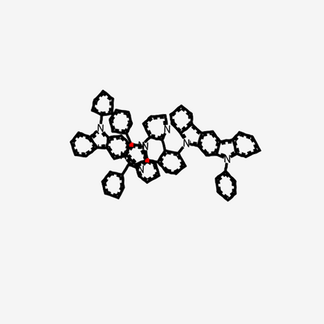 c1ccc(-c2nc(-c3ccccc3)nc(-c3cccc(-n4c5ccccc5c5cc6c7ccccc7n(-c7ccccc7)c6cc54)c3-c3ncccc3-n3c4ccccc4c4cc5c6ccccc6n(-c6ccccc6)c5cc43)n2)cc1